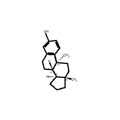 C[C@@]12CCC[C@H]1[C@@H]1CCc3cc(O)ccc3[C@@]1(C)CC2